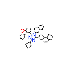 C1=CC2C=CC(c3ccc4oc5ccccc5c4c3-c3nc(-c4ccccc4)nc(-c4ccc5c(ccc6ccccc65)c4)n3)=CC2C=C1